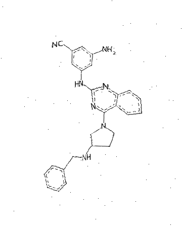 N#Cc1cc(N)cc(Nc2nc(N3CCC(NCc4ccccc4)C3)c3ccccc3n2)c1